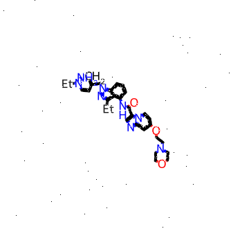 C=C(/C=C\N(N)CC)Cn1nc(CC)c2c(NC(=O)c3cnc4cc(OCCN5CCOCC5)ccn34)cccc21